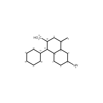 CCCC1CCC2C(C1)C(C)CC(C(=O)O)C2C1CCCCC1